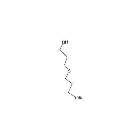 CCCCCCCSCC[CH]O